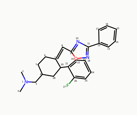 CN(C)CC1CC/C(=C/c2nc(-c3ccccc3)no2)C(c2ccccc2F)C1